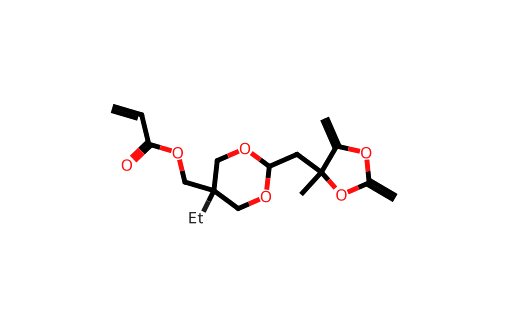 C=CC(=O)OCC1(CC)COC(CC2(C)OC(=C)OC2=C)OC1